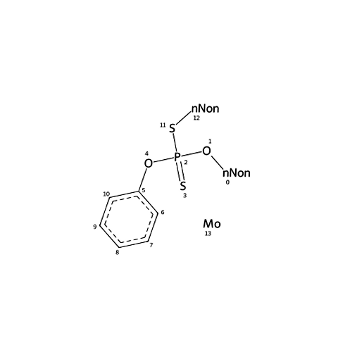 CCCCCCCCCOP(=S)(Oc1ccccc1)SCCCCCCCCC.[Mo]